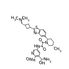 COc1ncc(NC(=O)C(=O)N2C[C@@H](C)CC[C@@H]2c2ccc3sc(C4CC(C=[N+](C)C)C4)nc3c2)cc1C(N)O